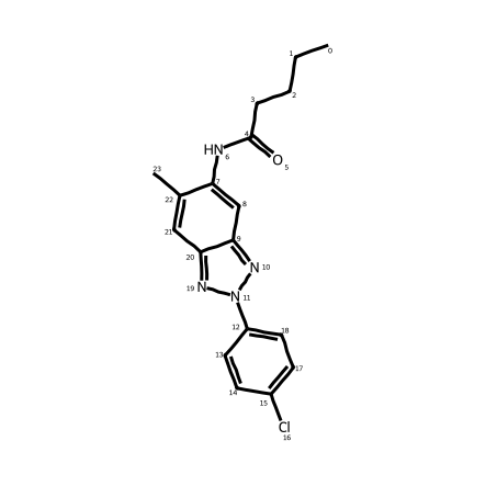 CCCCC(=O)Nc1cc2nn(-c3ccc(Cl)cc3)nc2cc1C